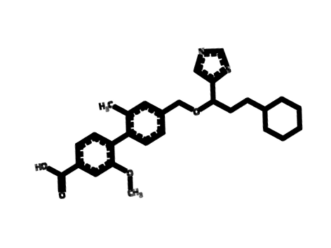 COc1cc(C(=O)O)ccc1-c1ccc(COC(CCC2CCCCC2)c2cncs2)cc1C